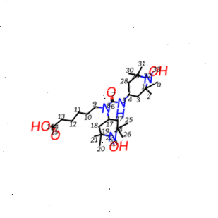 CC1(C)CC(NC(=O)N(CCCCCC(=O)O)C2CC(C)(C)N(O)C(C)(C)C2)CC(C)(C)N1O